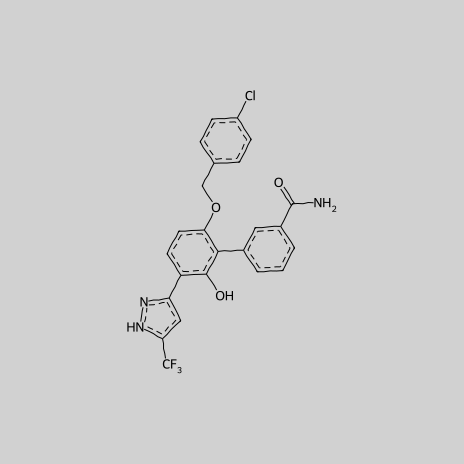 NC(=O)c1cccc(-c2c(OCc3ccc(Cl)cc3)ccc(-c3cc(C(F)(F)F)[nH]n3)c2O)c1